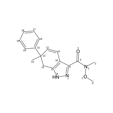 CON(C)C(=O)c1n[nH]c2c1C=CC(C)(c1ccccc1)C2